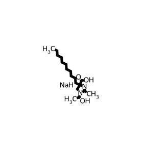 CCCCCCCCCCCC1(C(=O)O)CN(C(C)O)C(C)=N1.[NaH]